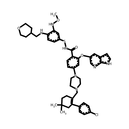 CONc1cc(SNC(=O)c2ccc(N3CCN(CC4=C(c5ccc(Cl)cc5)CC(C)(C)CC4)CC3)cc2Oc2cnc3[nH]ccc3c2)ccc1NCC1CCOCC1